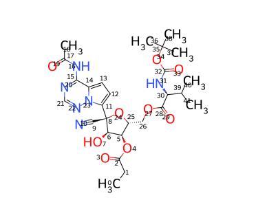 CCC(=O)O[C@H]1[C@@H](O)[C@](C#N)(c2ccc3c(NC(C)=O)ncnn23)O[C@@H]1COC(=O)[C@@H](NC(=O)OC(C)(C)C)C(C)C